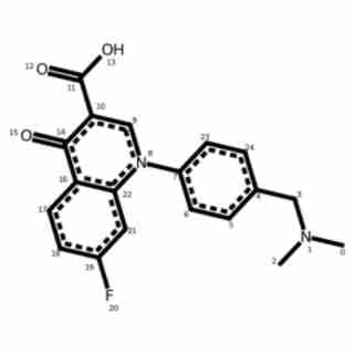 CN(C)Cc1ccc(-n2cc(C(=O)O)c(=O)c3ccc(F)cc32)cc1